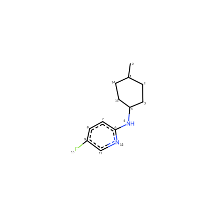 CC1CCC(Nc2ccc(F)cn2)CC1